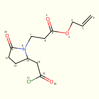 C=CCOC(=O)CCN1C(=O)CCC1CC(=O)Cl